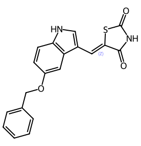 O=C1NC(=O)/C(=C/c2c[nH]c3ccc(OCc4ccccc4)cc23)S1